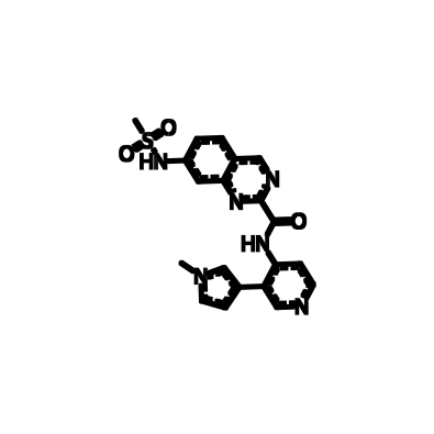 Cn1ccc(-c2cnccc2NC(=O)c2ncc3ccc(NS(C)(=O)=O)cc3n2)c1